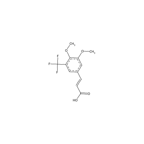 COc1cc(/C=C/C(=O)O)cc(C(F)(F)F)c1OC